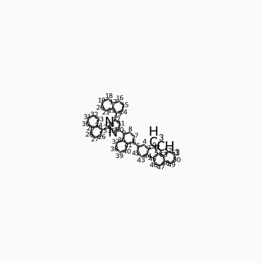 CC1(C)c2cc(-c3ccc(-c4cc(-c5cccc6ccccc56)nc(-c5cccc6ccccc56)n4)c4ccccc34)ccc2-c2ccc3ccccc3c21